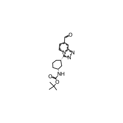 CC(C)(C)OC(=O)N[C@@H]1CCC[C@H](c2nnc3cc(C=O)ccn23)C1